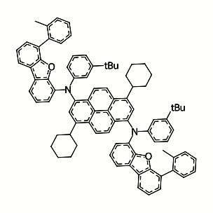 Cc1ccccc1-c1cccc2c1oc1c(N(c3cccc(C(C)(C)C)c3)c3cc(C4CCCCC4)c4ccc5c(N(c6cccc(C(C)(C)C)c6)c6cccc7c6oc6c(-c8ccccc8C)cccc67)cc(C6CCCCC6)c6ccc3c4c65)cccc12